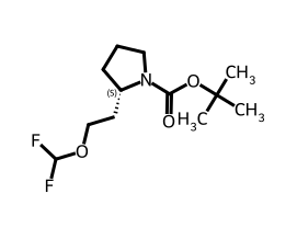 CC(C)(C)OC(=O)N1CCC[C@H]1CCOC(F)F